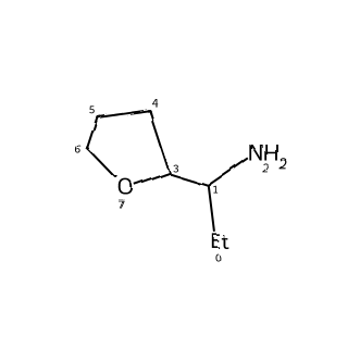 CCC(N)C1CCCO1